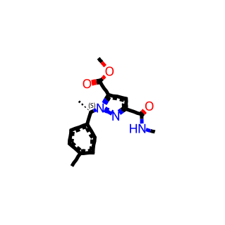 CNC(=O)c1cc(C(=O)OC)n([C@@H](C)c2ccc(C)cc2)n1